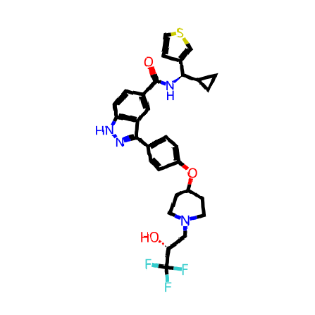 O=C(N[C@@H](c1ccsc1)C1CC1)c1ccc2[nH]nc(-c3ccc(OC4CCN(C[C@@H](O)C(F)(F)F)CC4)cc3)c2c1